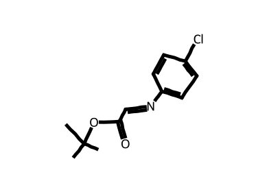 CC(C)(C)OC(=O)C=Nc1ccc(Cl)cc1